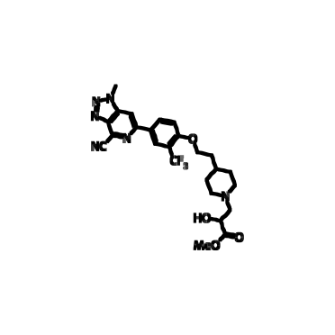 COC(=O)C(O)CN1CCC(CCOc2ccc(-c3cc4c(nnn4C)c(C#N)n3)cc2C(F)(F)F)CC1